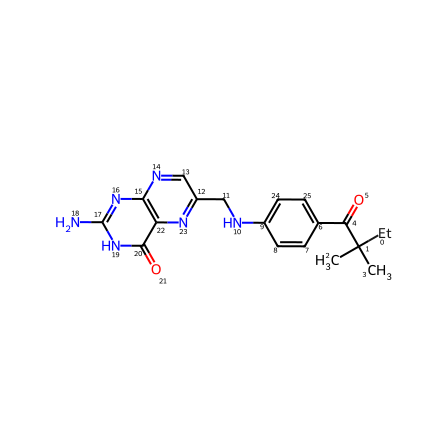 CCC(C)(C)C(=O)c1ccc(NCc2cnc3nc(N)[nH]c(=O)c3n2)cc1